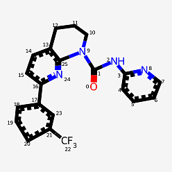 O=C(Nc1ccccn1)N1CCCc2ccc(-c3cccc(C(F)(F)F)c3)nc21